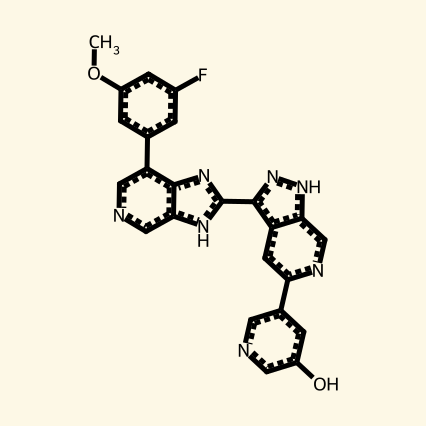 COc1cc(F)cc(-c2cncc3[nH]c(-c4n[nH]c5cnc(-c6cncc(O)c6)cc45)nc23)c1